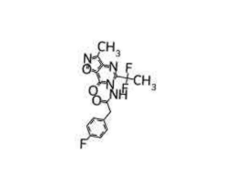 Cc1noc2c(=O)n(NC(=O)Cc3ccc(F)cc3)c(C(C)(F)F)nc12